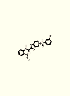 Nc1ccccc1NC(=O)c1nc2c(s1)CN(S(=O)(=O)c1cccc(F)c1)CC2